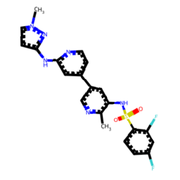 Cc1ncc(-c2ccnc(Nc3ccn(C)n3)c2)cc1NS(=O)(=O)c1ccc(F)cc1F